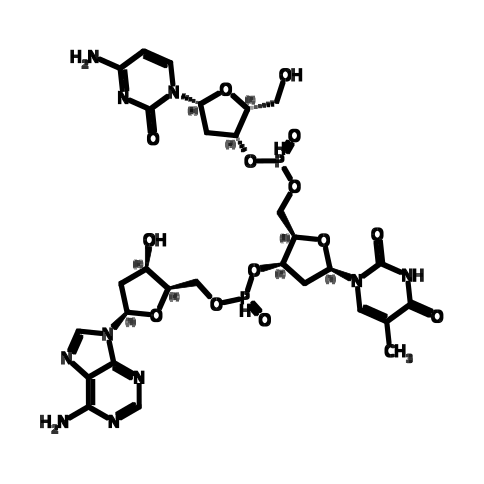 Cc1cn([C@H]2C[C@@H](O[PH](=O)OC[C@H]3O[C@@H](n4cnc5c(N)ncnc54)C[C@H]3O)[C@@H](CO[PH](=O)O[C@@H]3C[C@H](n4ccc(N)nc4=O)O[C@@H]3CO)O2)c(=O)[nH]c1=O